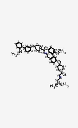 COc1ccccc1-c1cccc(OC2CCN(C(=O)/C=C/Cc3ccc(OC4CCN(C(=O)/C=C/CN(C)C)CC4)cc3-c3ccccc3OC)CC2)c1